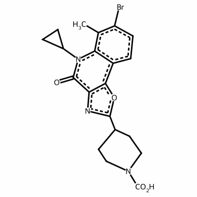 Cc1c(Br)ccc2c3oc(C4CCN(C(=O)O)CC4)nc3c(=O)n(C3CC3)c12